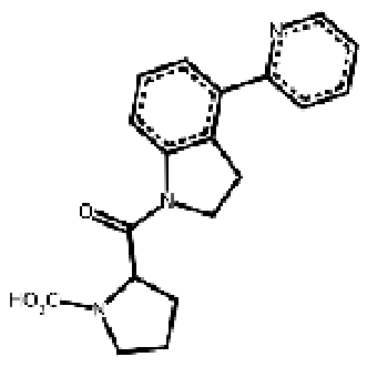 O=C(C1CCCN1C(=O)O)N1CCc2c(-c3ccccn3)cccc21